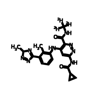 [2H]C([2H])([2H])NC(=O)c1nnc(NC(=O)C2CC2)cc1Nc1cccc(C2=NC(C)N=N2)c1C